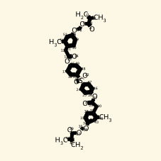 C=C(C)C(=O)OCOc1ccc(CC(=O)Oc2ccc(S(=O)(=O)c3ccc(OC(=O)Cc4ccc(OCOC(=O)C(=C)C)cc4C)cc3)cc2)c(C)c1